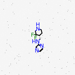 FC1(F)CNCC[C@@H]1CNc1cnccn1